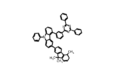 CC1CC=CC2=C1c1ccc(-c3ccc4c(c3)c3c(-c5cccc(-c6nc(-c7ccccc7)nc(-c7ccccc7)n6)c5)cccc3n4-c3ccccc3)cc1C2(C)C